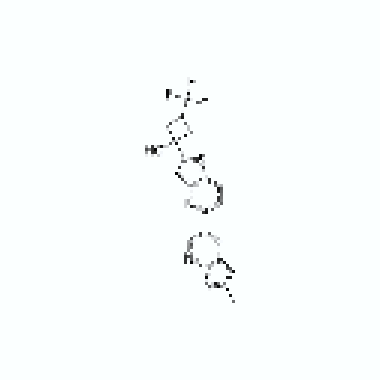 Cn1cc2cc(-c3ccc4sc(C5(O)CC(C(F)(F)F)C5)cc4n3)cnc2n1